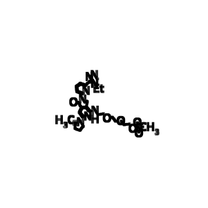 CCn1cnnc1-c1cccc(N2Cc3c(cc(N4CCC[C@H]4C)nc3NCCOCCOCCOS(C)(=O)=O)C2=O)n1